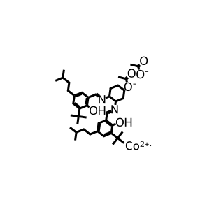 CC(=O)[O-].CC(=O)[O-].CC(C)CCc1cc(C=NC2CCCCC2N=Cc2cc(CCC(C)C)cc(C(C)(C)C)c2O)c(O)c(C(C)(C)C)c1.[Co+2]